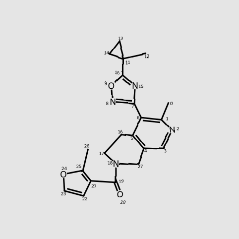 Cc1ncc2c(c1-c1noc(C3(C)CC3)n1)CCN(C(=O)c1ccoc1C)C2